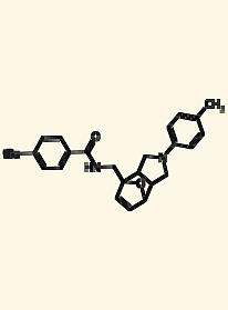 Cc1ccc(N2CC3C4C=CC(CNC(=O)c5ccc(C(C)(C)C)cc5)(O4)C3C2)cc1